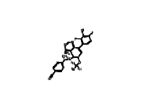 [2H]C([2H])([2H])Oc1cc(-c2ccc(F)c(Cl)c2F)c2ncnc(N)c2c1O[C@@H](C)c1ncc(C#N)cn1